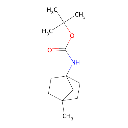 CC12CCC(NC(=O)OC(C)(C)C)(CC1)C2